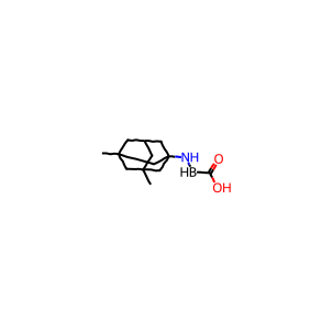 CC12CC3CC(C)(C1)CC(NBC(=O)O)(C3)C2